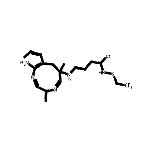 C\C=C/C1=C(N)/N=C\C(C)/N=C\C(C)(NCCCC(CC)NSCC(F)(F)F)C1